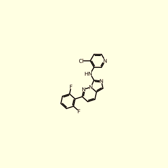 Fc1cccc(F)c1-c1ccc2cnc(Nc3cnccc3Cl)n2n1